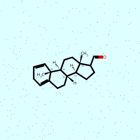 C[C@]12C=CCC=C1CC[C@@H]1[C@@H]2CC[C@]2(C)C(C=O)CC[C@@H]12